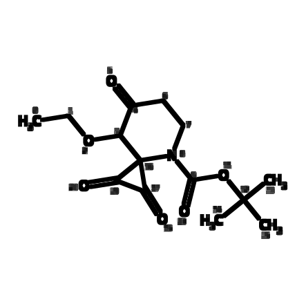 CCOC1C(=O)CCN(C(=O)OC(C)(C)C)C12C(=O)C2=O